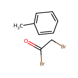 Cc1ccccc1.O=C(Br)CBr